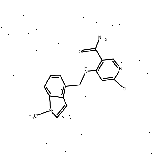 Cn1ccc2c(CNc3cc(Cl)ncc3C(N)=O)cccc21